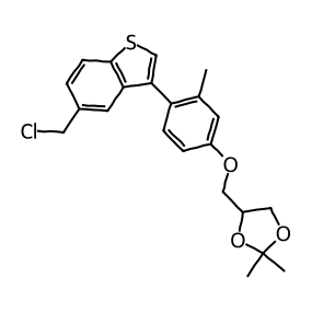 Cc1cc(OCC2COC(C)(C)O2)ccc1-c1csc2ccc(CCl)cc12